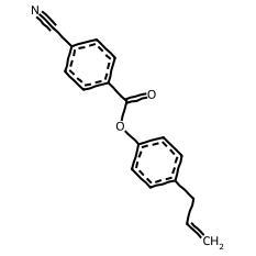 C=CCc1ccc(OC(=O)c2ccc(C#N)cc2)cc1